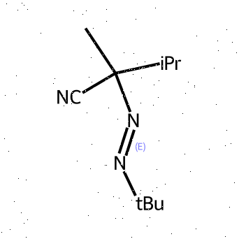 CC(C)C(C)(C#N)/N=N/C(C)(C)C